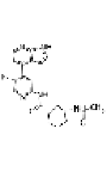 CC(=O)N[C@@H]1CCC[C@H](C(=O)Nc2cc(-c3ccnc4[nH]ccc34)c(F)cn2)C1